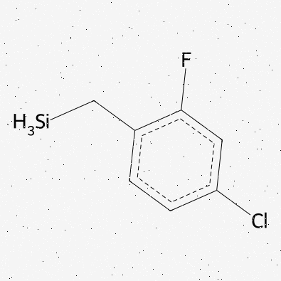 Fc1cc(Cl)ccc1C[SiH3]